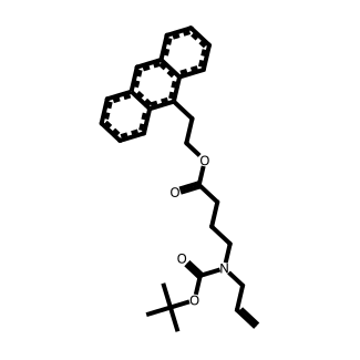 C=CCN(CCCC(=O)OCCc1c2ccccc2cc2ccccc12)C(=O)OC(C)(C)C